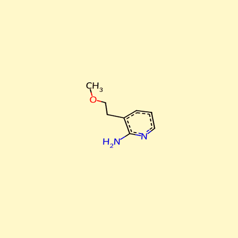 COCCc1cccnc1N